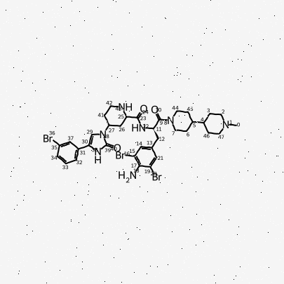 CN1CCC(C2CCN(C(=O)[C@@H](Cc3cc(Br)c(N)c(Br)c3)NC(=O)C3CC(n4cc(-c5cccc(Br)c5)[nH]c4=O)CCN3)CC2)CC1